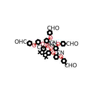 CC1(C)CC2(CC(C)(C)c3cc(Oc4cccc(Oc5ccc(C=O)cc5)c4C#N)c(Oc4cccc(Oc5ccc(C=O)cc5)c4C#N)cc32)c2cc(Oc3cccc(Oc4ccc(C=O)cc4)c3C#N)c(Oc3cccc(Oc4ccc(C=O)cc4)c3C#N)cc21